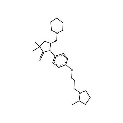 CC1CCCN1CCCOc1ccc(N2C(=O)C(C)(C)C[C@H]2CN2CCCCC2)cc1